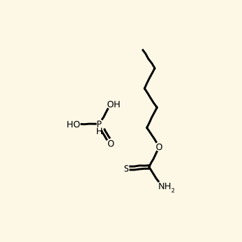 CCCCCOC(N)=S.O=[PH](O)O